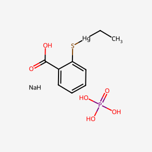 C[CH2][Hg][S]c1ccccc1C(=O)O.O=P(O)(O)O.[NaH]